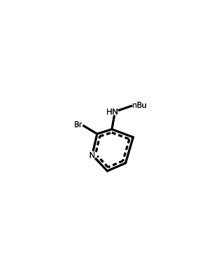 CCCCNc1cccnc1Br